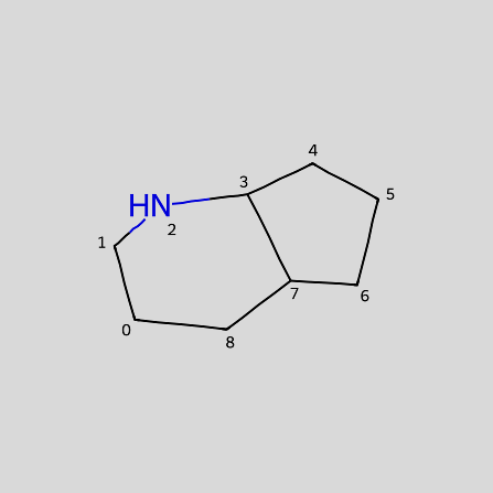 C1CNC2CCCC2C1